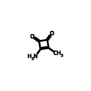 Cc1c(N)c(=O)c1=O